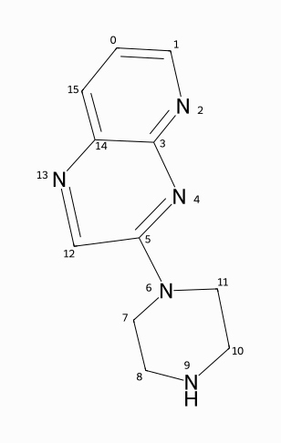 c1cnc2nc(N3CCNCC3)cnc2c1